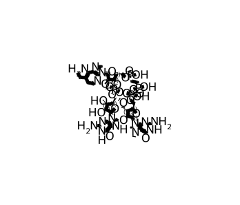 CCC1=C(N)c2ncn([C@@H]3O[C@H](COP(=O)(O)CCP(=O)(O)OP(=O)(O)OC[C@H]4O[C@@H](n5c[n+](C)c6c(=O)[nH]c(N)nc65)[C@H](O)[C@@H]4COC)[C@@H](OP(=O)([O-])OC[C@H]4O[C@@H](n5cnc6c(=O)[nH]c(N)nc65)[C@H](O)[C@@H]4O)[C@H]3OC)c2N=CC1